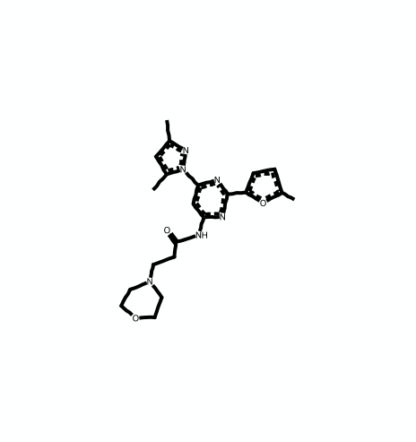 Cc1cc(C)n(-c2cc(NC(=O)CCN3CCOCC3)nc(-c3ccc(C)o3)n2)n1